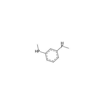 CPc1cccc(PC)c1